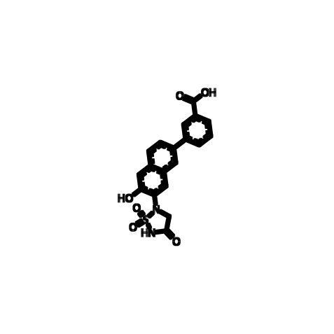 O=C1CN(c2cc3cc(-c4cccc(C(=O)O)c4)ccc3cc2O)S(=O)(=O)N1